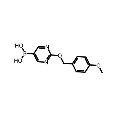 COc1ccc(COc2ncc(B(O)O)cn2)cc1